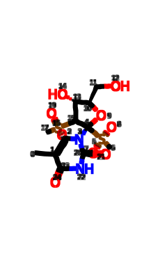 Cc1cn([C@]2(S(C)(=O)=O)O[C@H](CO)[C@@H](O)C2S(C)(=O)=O)c(=O)[nH]c1=O